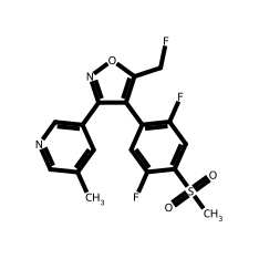 Cc1cncc(-c2noc(CF)c2-c2cc(F)c(S(C)(=O)=O)cc2F)c1